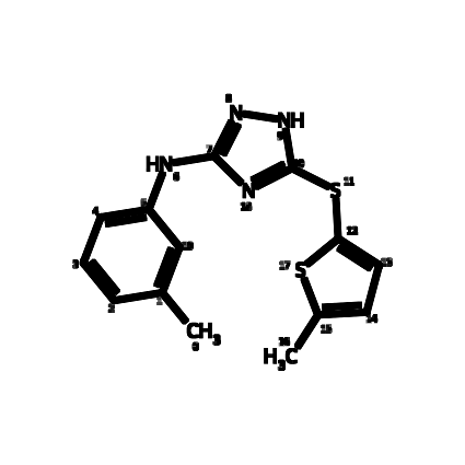 Cc1cccc(Nc2n[nH]c(Sc3ccc(C)s3)n2)c1